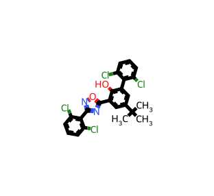 CC(C)(C)c1cc(-c2nc(-c3c(Cl)cccc3Cl)no2)c(O)c(-c2c(Cl)cccc2Cl)c1